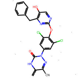 C=C1NC(=O)N(c2cc(Cl)c(Oc3ncc(O)c(Cc4ccccc4)n3)c(Cl)c2)N=C1C#N